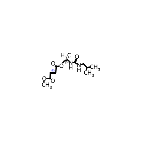 COC(=O)/C=C/C(=O)OC[C@H](C)NC(=O)NCC(C)C